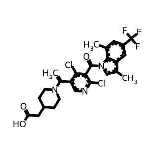 C=C(c1cnc(Cl)c(C(=O)n2cc(C)c3cc(C(F)(F)F)cc(C)c32)c1Cl)N1CCC(CC(=O)O)CC1